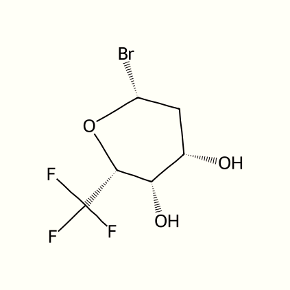 O[C@@H]1[C@H](C(F)(F)F)O[C@H](Br)C[C@@H]1O